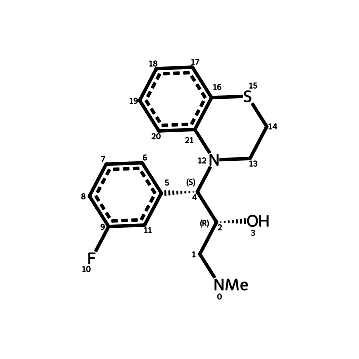 CNC[C@@H](O)[C@H](c1cccc(F)c1)N1CCSc2ccccc21